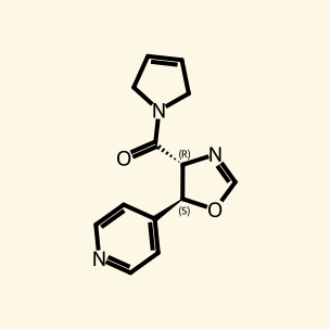 O=C([C@@H]1N=CO[C@H]1c1ccncc1)N1CC=CC1